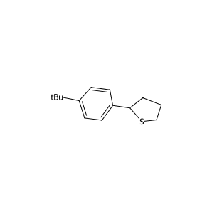 CC(C)(C)c1ccc(C2CCCS2)cc1